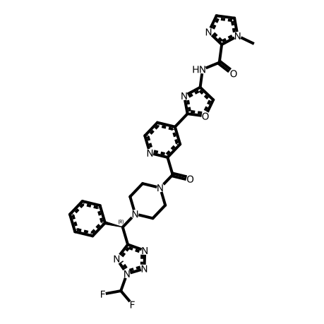 Cn1ccnc1C(=O)Nc1coc(-c2ccnc(C(=O)N3CCN([C@H](c4ccccc4)c4nnn(C(F)F)n4)CC3)c2)n1